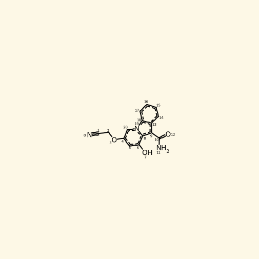 N#CCOc1cc(O)c2c(C(N)=O)c3ccccc3n2c1